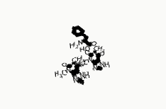 Cn1c(=O)c2[nH]cnc2n(C)c1=O.Cn1c(=O)c2[nH]cnc2n(C)c1=O.NC(Cc1ccccc1)C(=O)O